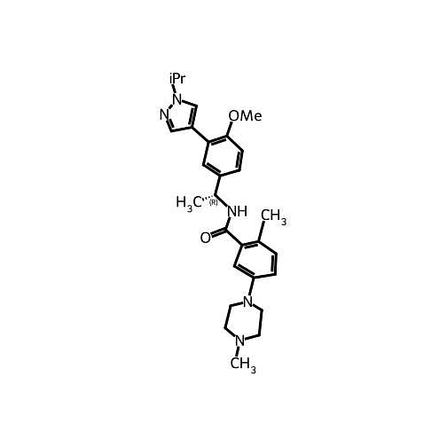 COc1ccc([C@@H](C)NC(=O)c2cc(N3CCN(C)CC3)ccc2C)cc1-c1cnn(C(C)C)c1